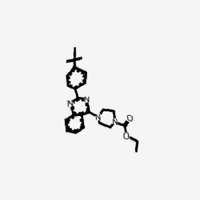 CCOC(=O)N1CCN(c2nc(-c3ccc(C(C)(C)C)cc3)nc3ccccc23)CC1